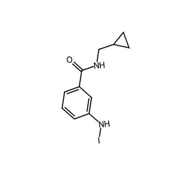 O=C(NCC1CC1)c1cccc(NI)c1